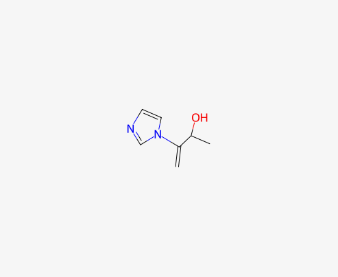 C=C(C(C)O)n1ccnc1